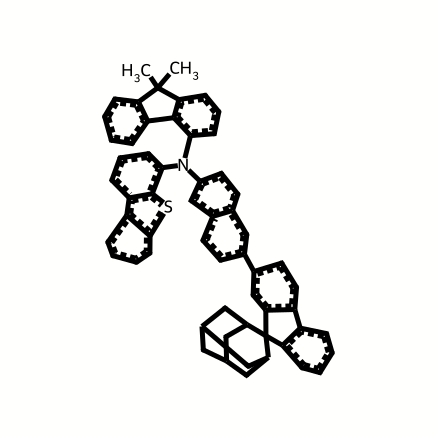 CC1(C)c2ccccc2-c2c(N(c3ccc4cc(-c5ccc6c(c5)C5(c7ccccc7-6)C6CC7CC(C6)CC5C7)ccc4c3)c3cccc4c3sc3ccccc34)cccc21